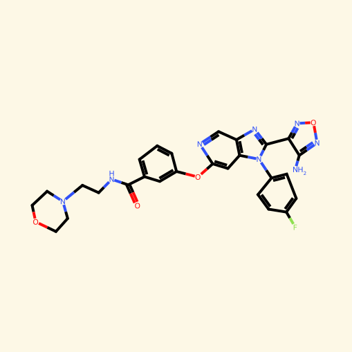 Nc1nonc1-c1nc2cnc(Oc3cccc(C(=O)NCCN4CCOCC4)c3)cc2n1-c1ccc(F)cc1